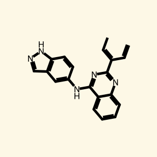 C=C/C(=C\C)c1nc(Nc2ccc3[nH]ncc3c2)c2ccccc2n1